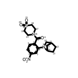 O=C(c1ccc([N+](=O)[O-])cc1N1CC2CCC1C2)N1CCS(=O)(=O)CC1